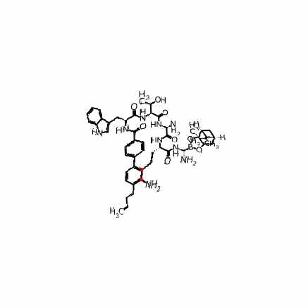 CCCCc1ccc(-c2ccc(C(=O)N[C@@H](Cc3c[nH]c4ccccc34)C(=O)N[C@H](C(=O)N[C@@H](N)C(=O)N[C@@H](CCCCN)C(=O)N[C@@H](N)B3OC4C[C@@H]5C[C@@H](C5(C)C)[C@]4(C)O3)[C@@H](C)O)cc2)cc1